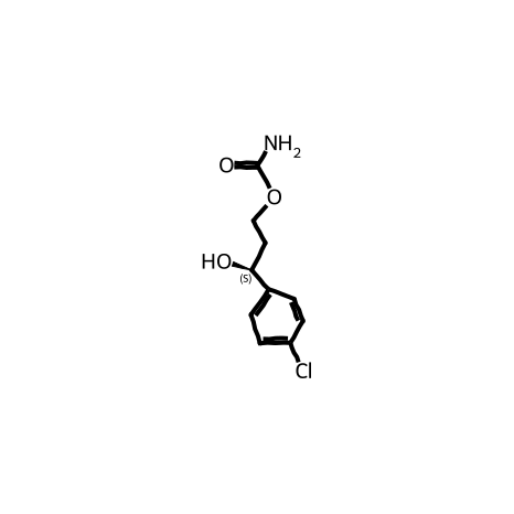 NC(=O)OCC[C@H](O)c1ccc(Cl)cc1